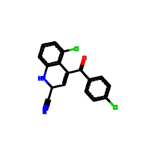 N#CC1C=C(C(=O)c2ccc(Cl)cc2)c2c(Cl)cccc2N1